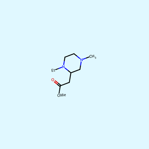 CCN1CCN(C)CC1CC(=O)OC